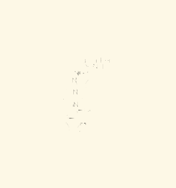 CCCCCNC(=O)c1ccc(N2CCCN(C(=O)c3ccccc3C(F)(F)F)C2)nn1